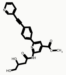 COC(=O)c1cc(NC(=O)CC(O)CO)nc(-c2ccc(C#Cc3cccnc3)cc2)c1